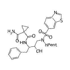 CCCCCN(CC(O)C(Cc1ccccc1)NC(=O)C1(C(N)=O)CC1)S(=O)(=O)c1ccc2ncsc2c1